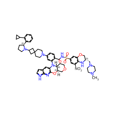 CN1CCN(C[C@H]2COc3cc(S(=O)(=O)NC(=O)c4ccc(N5CCC6(CC5)CC(N5CCC[C@H]5c5ccccc5C5CC5)C6)cc4N4c5cc6cc[nH]c6nc5O[C@@H]5COCC[C@H]54)cc([N+](=O)[O-])c3N2)CC1